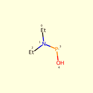 CCN(CC)[P]O